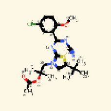 COc1ccc(Cl)cc1C(=NC#N)N=c1sc(C(C)(C)C)cn1CC(C)(C)OC(C)=O